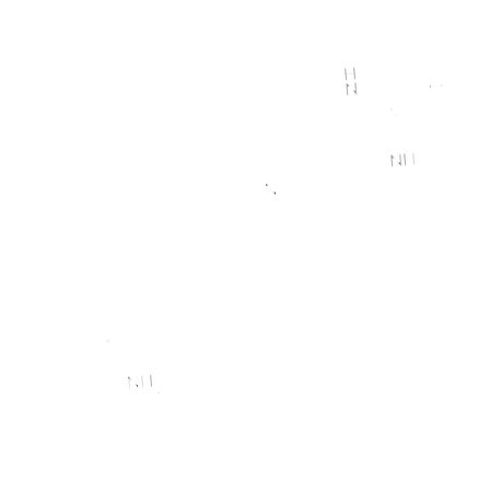 NC1(c2ccc(-c3nc4c(cc3-c3ccccc3)NC(=O)NC4)cc2)CCC1